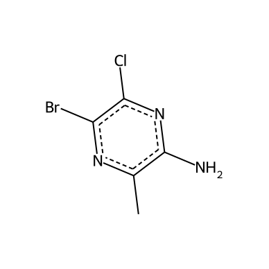 Cc1nc(Br)c(Cl)nc1N